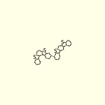 c1ccc2c(c1)sc1cc3sc4c(-c5ccc6c(c5)sc5ccc7sc8ccccc8c7c56)cccc4c3cc12